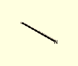 C#CC#CC#CC#CC#CC#CC#CC#CC#CC#CC#N